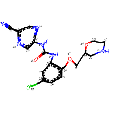 N#Cc1cnc(NC(=O)Nc2cc(Cl)ccc2OCC2CNCCO2)cn1